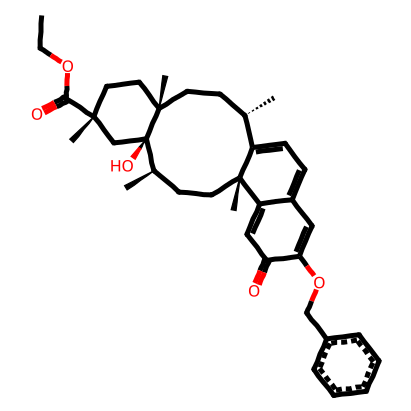 CCOC(=O)[C@]1(C)CC[C@]2(C)CC[C@H](C)C3=CC=C4C=C(OCc5ccccc5)C(=O)C=C4[C@]3(C)CC[C@@H](C)[C@]2(O)C1